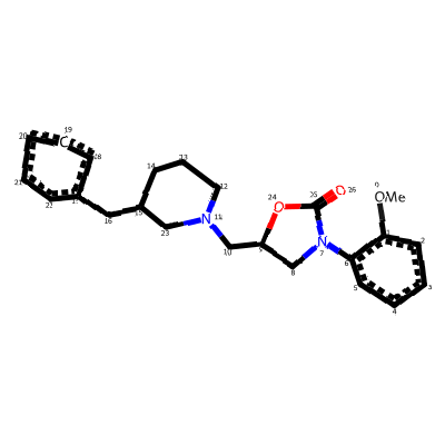 COc1ccccc1N1CC(CN2CCCC(Cc3ccccc3)C2)OC1=O